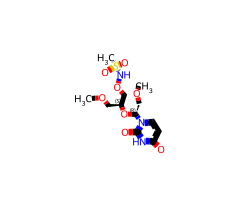 COC[C@@H](CONS(C)(=O)=O)O[C@H](COC)n1ccc(=O)[nH]c1=O